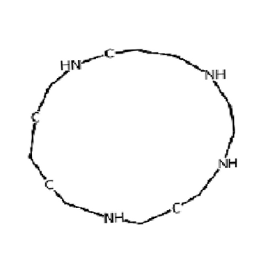 C1CCNCCCNCCNCCCNCC1